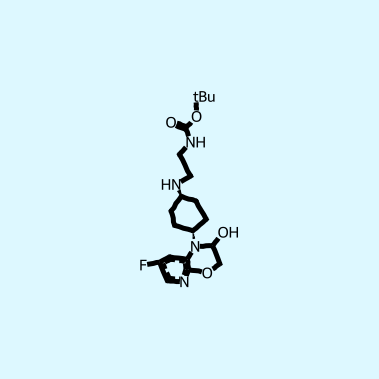 CC(C)(C)OC(=O)NCCN[C@H]1CC[C@H](N2c3cc(F)cnc3OCC2O)CC1